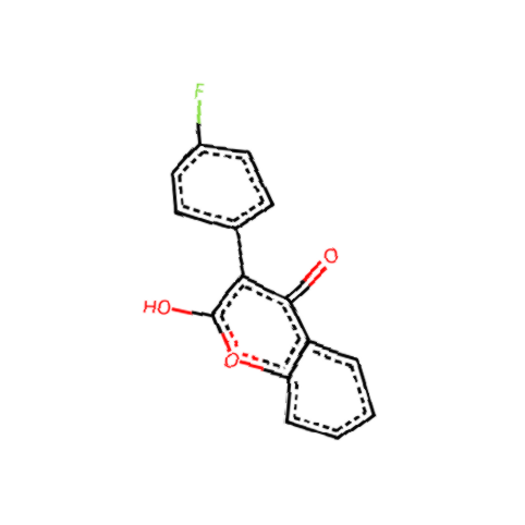 O=c1c(-c2ccc(F)cc2)c(O)oc2ccccc12